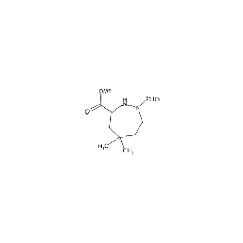 COC(=O)C1CC(C)(C)CCN(C=O)N1